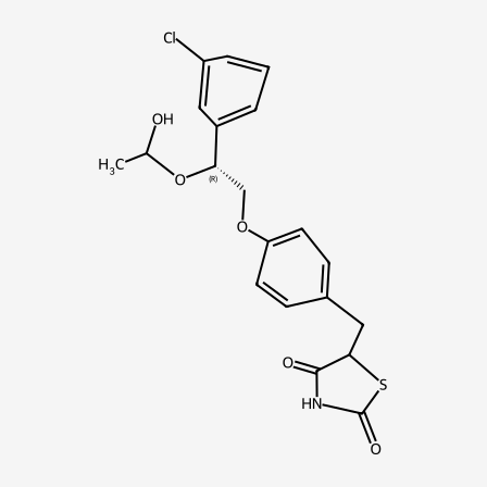 CC(O)O[C@@H](COc1ccc(CC2SC(=O)NC2=O)cc1)c1cccc(Cl)c1